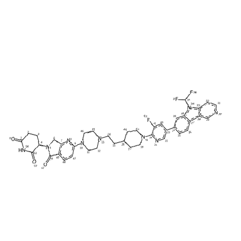 O=C1CCC(N2Cc3nc(N4CCN(CCC5CCN(c6ncc(-c7ccc8c9cnccc9n(C(F)F)c8c7)cc6F)CC5)CC4)ccc3C2=O)C(=O)N1